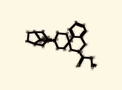 CCCOC(=O)N1Cc2ccccc2C2(CCN(C3CC4CCC(C3)N4C(=O)OCC)CC2)C1